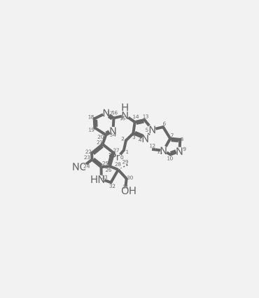 CC(C)CCc1nn(Cc2cncn2C)cc1Nc1nccc(-c2cc(C#N)c3c(c2)[C@@](C)(CO)CN3)n1